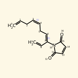 C=CC/C=C\C/C=C(\C=C)N1C(=O)C=CC1=O